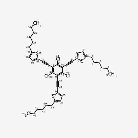 CCCCCCc1ccc(C#Cc2c(Cl)c(C#Cc3ccc(CCCCCC)s3)c(Cl)c(C#Cc3ccc(CCCCCC)s3)c2Cl)s1